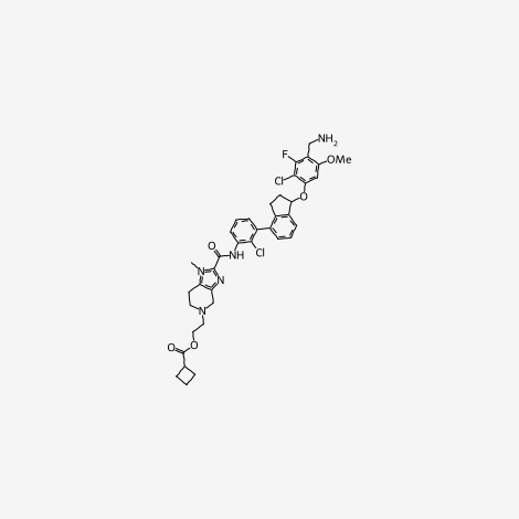 COc1cc(OC2CCc3c(-c4cccc(NC(=O)c5nc6c(n5C)CCN(CCOC(=O)C5CCC5)C6)c4Cl)cccc32)c(Cl)c(F)c1CN